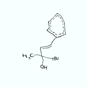 CCCCC(C)(O)/C=C/c1ccccc1